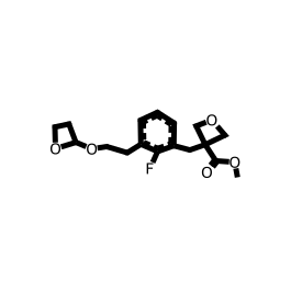 COC(=O)C1(Cc2cccc(CCOC3CCO3)c2F)COC1